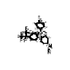 [N-]=[N+]=N[C@H]1CC[C@@](c2ccc(C(F)(C(F)(F)F)C(F)(F)F)cc2)(S(=O)(=O)c2ccc(F)cc2)CC1